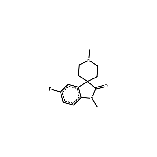 CN1CCC2(CC1)C(=O)N(C)c1ccc(F)cc12